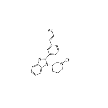 CCN1CCC[C@H](n2c(-c3cccc(/C=C/C(C)=O)c3)nc3ccccc32)C1